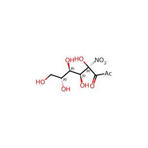 CC(=O)C(=O)[C@](O)([C@@H](O)[C@H](O)[C@H](O)CO)[N+](=O)[O-]